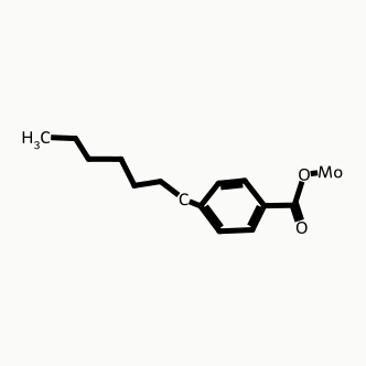 CCCCCCCc1ccc(C(=O)[O][Mo])cc1